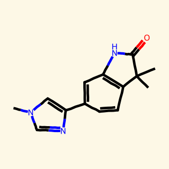 Cn1cnc(-c2ccc3c(c2)NC(=O)C3(C)C)c1